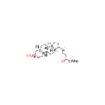 COC(=O)CC[C@@H](C)C1CC[C@H]2[C@@H]3CC[C@@H]4C[C@H](O)CC[C@]4(C)[C@H]3CC[C@]12C